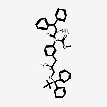 COC(=O)N(C(=O)[C@@H](N)C(c1ccccc1)c1ccccc1)c1cccc(C[C@H](N)CO[Si](c2ccccc2)(c2ccccc2)C(C)(C)C)c1